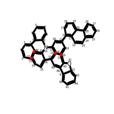 c1ccc(-c2ccccc2N(c2cccc(-c3cccc4c3ccc3ccccc34)c2)c2ccccc2-c2ccc3oc4ccccc4c3c2)cc1